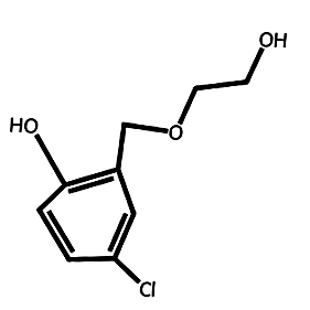 OCCOCc1cc(Cl)ccc1O